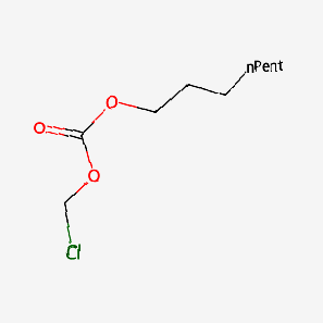 CCCCCCCCOC(=O)OCCl